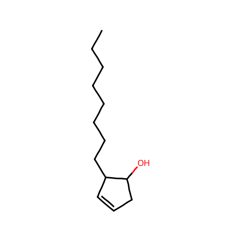 CCCCCCCCC1C=CCC1O